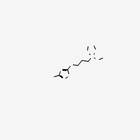 CO[Si](CCCSc1nc(N)n[nH]1)(OC)OC